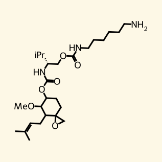 COC1C(OC(=O)N[C@@H](COC(=O)NCCCCCCN)C(C)C)CCC2(CO2)C1CC=C(C)C